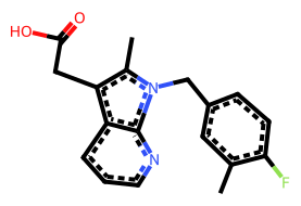 Cc1cc(Cn2c(C)c(CC(=O)O)c3cccnc32)ccc1F